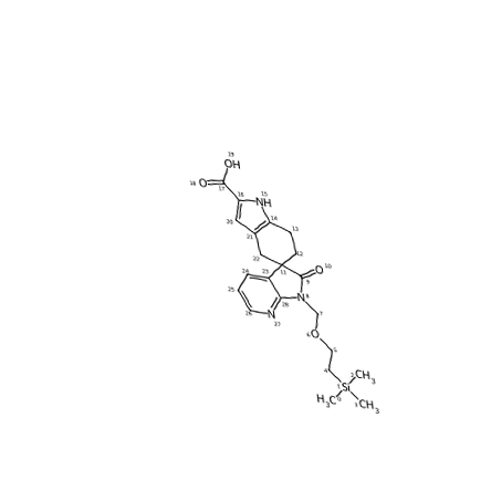 C[Si](C)(C)CCOCN1C(=O)C2(CCc3[nH]c(C(=O)O)cc3C2)c2cccnc21